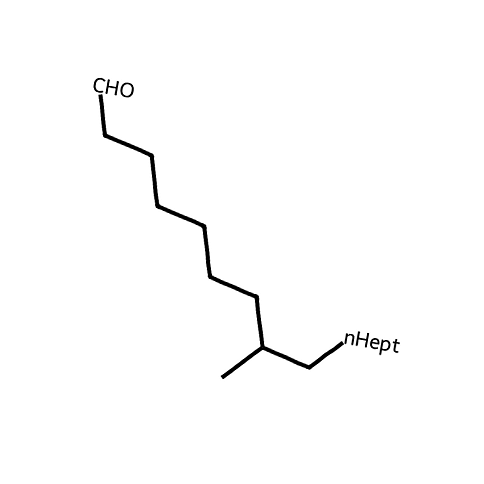 CCCCCCCCC(C)CCCCCCC=O